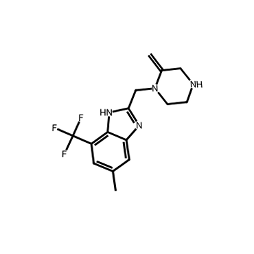 C=C1CNCCN1Cc1nc2cc(C)cc(C(F)(F)F)c2[nH]1